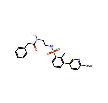 CCN(CCNS(=O)(=O)c1cccc(-c2ccc(OC)nc2)c1C)C(=O)Cc1ccccc1